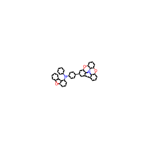 c1ccc(N(c2ccc(-c3cc4c5c(c3)c3cccc6c3n5-c3c(cccc3O4)O6)cc2)c2cccc3oc4ccccc4c23)cc1